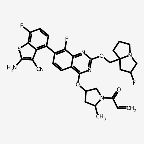 C=CC(=O)N1CC(Oc2nc(OCC34CCCN3CC(F)C4)nc3c(F)c(-c4ccc(F)c5sc(N)c(C#N)c45)ccc23)CC1C